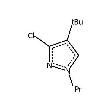 CC(C)n1cc(C(C)(C)C)c(Cl)n1